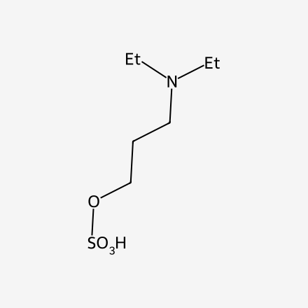 CCN(CC)CCCOS(=O)(=O)O